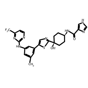 Cc1cc(Nc2nccc(C(F)(F)F)n2)cc(-c2cnc([C@]3(O)CC[C@@H](NC(=O)c4c[nH]cn4)CC3)s2)c1